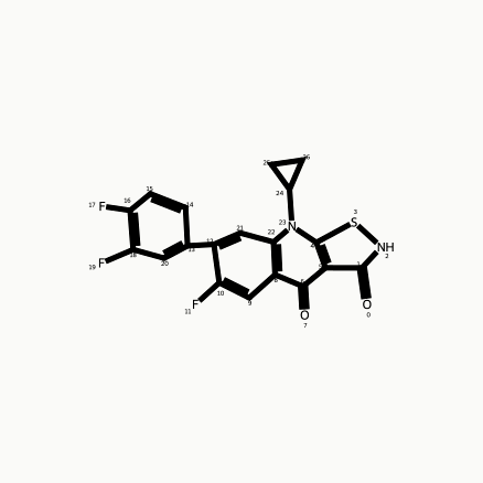 O=c1[nH]sc2c1c(=O)c1cc(F)c(-c3ccc(F)c(F)c3)cc1n2C1CC1